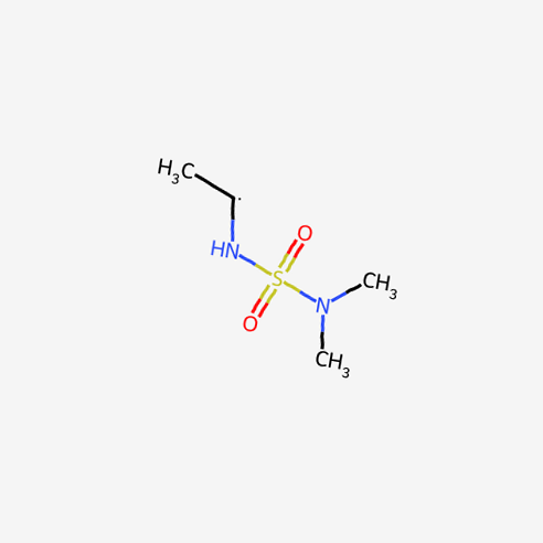 C[CH]NS(=O)(=O)N(C)C